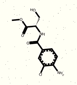 COC(=O)[C@H](CO)NC(=O)c1ccc(N)c(Cl)c1